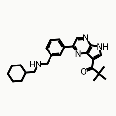 CC(C)(C)C(=O)c1c[nH]c2ncc(-c3cccc(CNCC4CCCCC4)c3)nc12